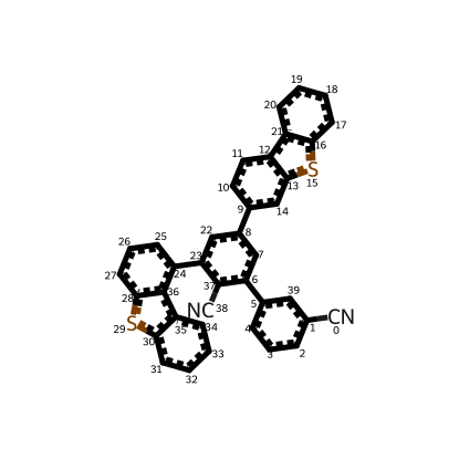 N#Cc1cccc(-c2cc(-c3ccc4c(c3)sc3ccccc34)cc(-c3cccc4sc5ccccc5c34)c2C#N)c1